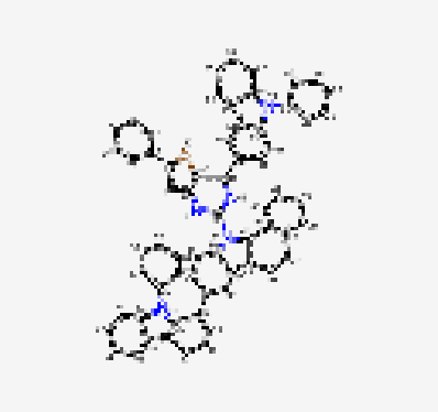 c1ccc(-c2cc3nc(-n4c5ccc(-c6cccc7c8ccccc8n(-c8ccccc8)c67)cc5c5ccc6ccccc6c54)nc(-c4ccc5c(c4)c4ccccc4n5-c4ccccc4)c3s2)cc1